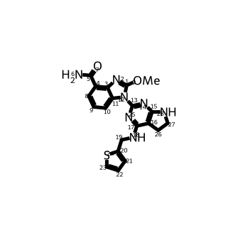 COc1nc2c(C(N)=O)cccc2n1-c1nc2c(c(NCc3cccs3)n1)CCN2